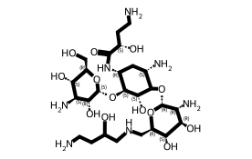 NCCC(O)CNC[C@H]1O[C@H](OC2[C@@H](N)C[C@@H](NC(=O)[C@@H](O)CCN)[C@H](O[C@H]3O[C@H](CO)[C@@H](O)[C@H](N)[C@H]3O)[C@H]2O)[C@H](N)[C@@H](O)[C@@H]1O